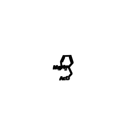 CC(=O)OCc1ccccc1.[MgH2]